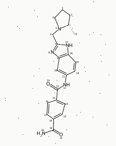 C[C@H]1CCCN1Cc1nc2cc(NC(=O)c3ccc(C(N)=O)cc3)ccc2[nH]1